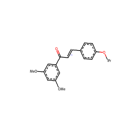 COc1cc(OC)cc(C(=O)/C=C/c2ccc(OC(C)C)cc2)c1